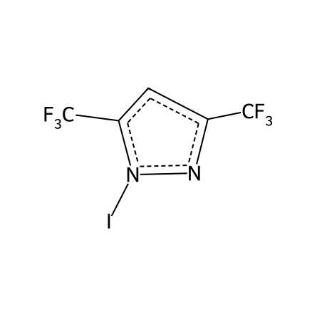 FC(F)(F)c1cc(C(F)(F)F)n(I)n1